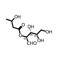 CC(O)CC(=O)O[C@H](C=O)[C@H](O)[C@H](O)CO